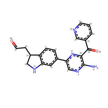 Nc1ncc(-c2ccc3c(c2)NCC3CC=O)nc1C(=O)c1cccnc1